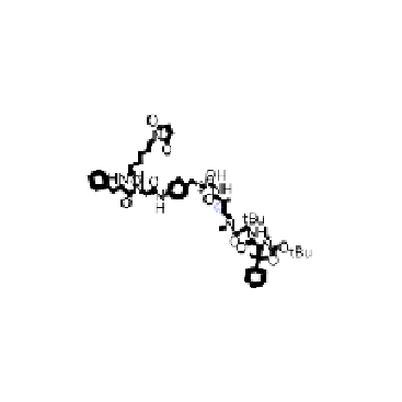 C/C(=C\CN(C)C(=O)C(NC(=O)C(N(C)C(=O)OC(C)(C)C)C(C)(C)c1ccccc1)C(C)(C)C)C(=O)NN(O)SCc1ccc(NC(=O)CNC(=O)C(Cc2ccccc2)NC(=O)CCCCCN2C(=O)C=CC2=O)cc1